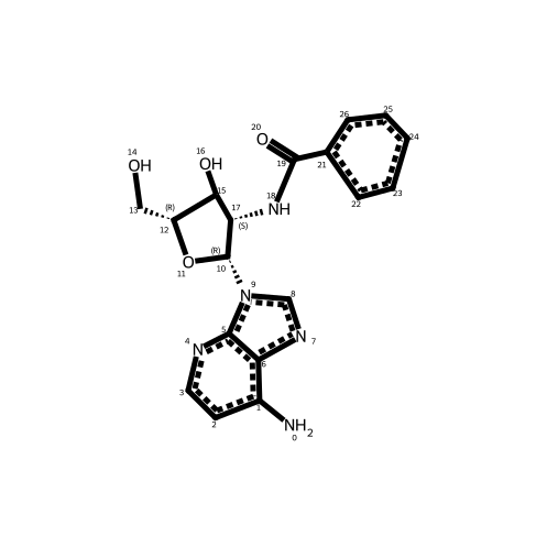 Nc1ccnc2c1ncn2[C@@H]1O[C@H](CO)C(O)[C@@H]1NC(=O)c1ccccc1